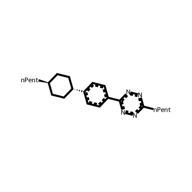 CCCCCc1nnc(-c2ccc([C@H]3CC[C@H](CCCCC)CC3)cc2)nn1